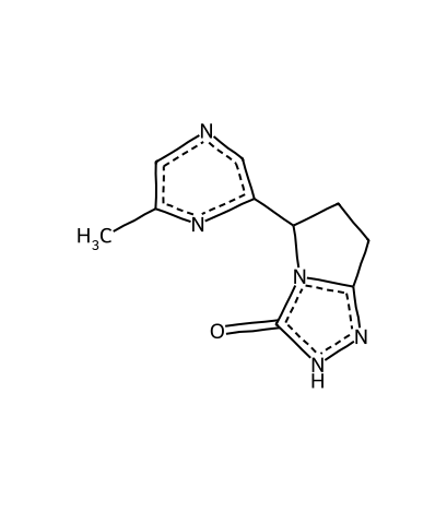 Cc1cncc(C2CCc3n[nH]c(=O)n32)n1